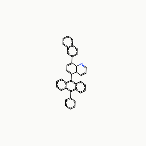 C1=CC2C(c3c4ccccc4c(-c4ccccc4)c4ccccc34)=CC=C(c3ccc4ccccc4c3)C2N=C1